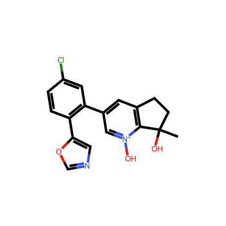 CC1(O)CCc2cc(-c3cc(Cl)ccc3-c3cnco3)c[n+](O)c21